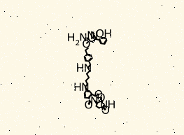 Nc1nnc(-c2ccccc2O)cc1OCCc1ccc(CNCCCCCNc2ccc3c(c2)C(=O)N(C2CCC(=O)NC2=O)C3=O)cc1